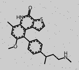 CNCCC(C)c1ccc(-c2c(OC)cc(C)c3[nH]c(=O)c4sccc4c23)cc1